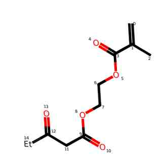 C=C(C)C(=O)OCCOC(=O)CC(=O)CC